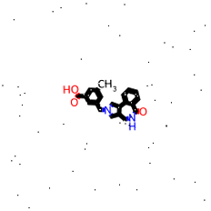 Cc1cc(CN2CC3CNC(=O)c4ccccc4C3C2)cc(C(=O)O)c1